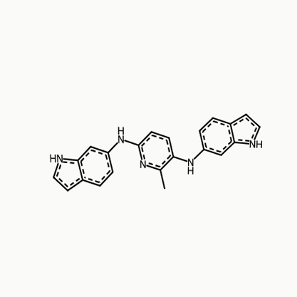 Cc1nc(Nc2ccc3cc[nH]c3c2)ccc1Nc1ccc2cc[nH]c2c1